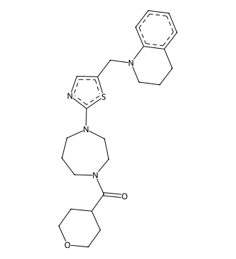 O=C(C1CCOCC1)N1CCCN(c2ncc(CN3CCCc4ccccc43)s2)CC1